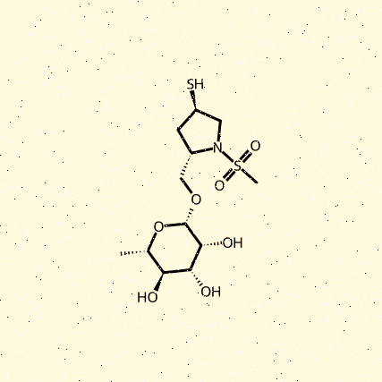 C[C@@H]1O[C@H](OC[C@@H]2C[C@@H](S)CN2S(C)(=O)=O)[C@H](O)[C@H](O)[C@H]1O